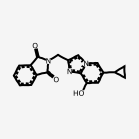 O=C1c2ccccc2C(=O)N1Cc1cn2cc(C3CC3)cc(O)c2n1